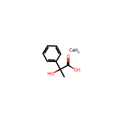 CC(O)(C(=O)O)c1ccccc1.[CaH2]